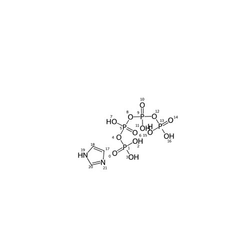 O=P(O)(O)OP(=O)(O)OP(=O)(O)OP(=O)(O)O.c1c[nH]cn1